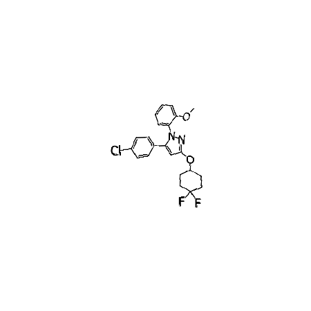 COc1ccccc1-n1nc(OC2CCC(F)(F)CC2)cc1-c1ccc(Cl)cc1